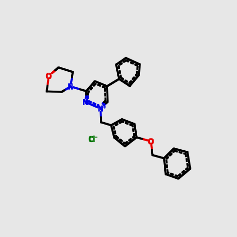 [Cl-].c1ccc(COc2ccc(C[n+]3cc(-c4ccccc4)cc(N4CCOCC4)n3)cc2)cc1